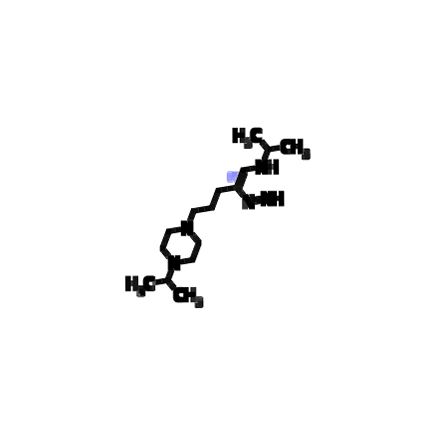 CC(C)N/C=C(/CCCN1CCN(C(C)C)CC1)N=N